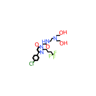 O=C(Cn1c(CCCC(F)(F)F)nc(-c2ccc(Cl)cc2)cc1=O)NCCN(CCO)CCO